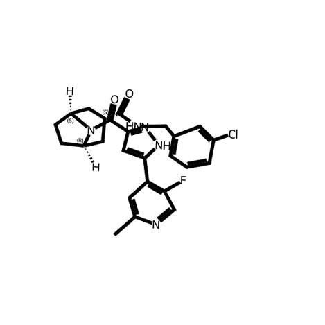 Cc1cc(-c2cc(C(=O)N3[C@@H]4CC[C@H]3C[C@H](C(=O)NCc3cccc(Cl)c3)C4)n[nH]2)c(F)cn1